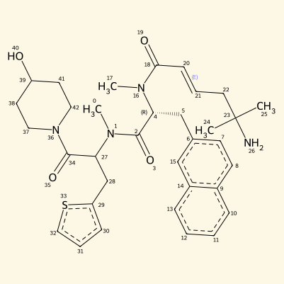 CN(C(=O)[C@@H](Cc1ccc2ccccc2c1)N(C)C(=O)/C=C/CC(C)(C)N)C(Cc1cccs1)C(=O)N1CCC(O)CC1